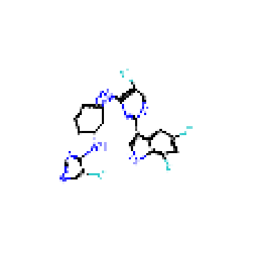 Fc1cc(F)c2[nH]cc(-c3ncc(F)c(N[C@H]4CCC[C@@H](Nc5ncncc5F)C4)n3)c2c1